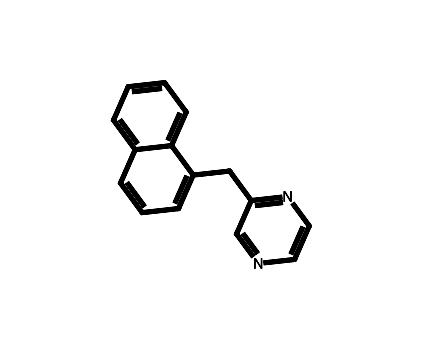 c1ccc2c(Cc3cnccn3)cccc2c1